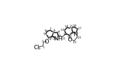 ClCCOc1cccc2cc(Cc3ccc4ccn5c4c3OCC5)[nH]c12